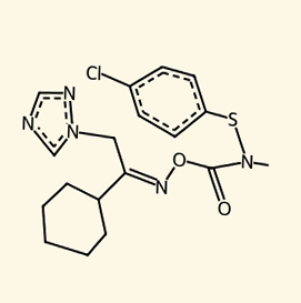 CN(Sc1ccc(Cl)cc1)C(=O)ON=C(Cn1cncn1)C1CCCCC1